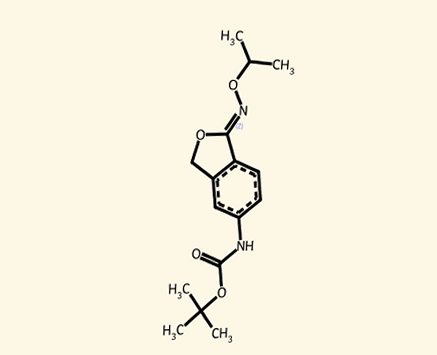 CC(C)O/N=C1\OCc2cc(NC(=O)OC(C)(C)C)ccc21